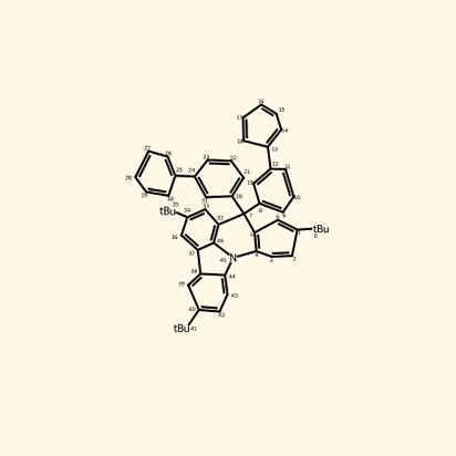 CC(C)(C)c1ccc2c(c1)C(c1cccc(-c3ccccc3)c1)(c1cccc(-c3ccccc3)c1)c1cc(C(C)(C)C)cc3c4cc(C(C)(C)C)ccc4n-2c13